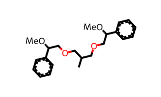 COC(COCC(C)COCC(OC)c1ccccc1)c1ccccc1